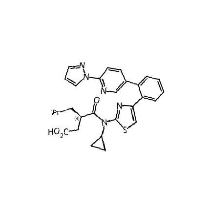 CC(C)C[C@H](CC(=O)O)C(=O)N(c1nc(-c2ccccc2-c2ccc(-n3cccn3)nc2)cs1)C1CC1